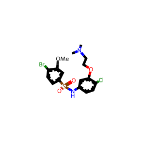 COc1cc(S(=O)(=O)Nc2ccc(Cl)c(OCCN(C)C)c2)ccc1Br